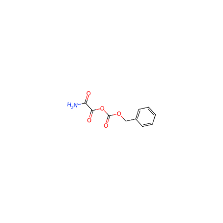 NC(=O)C(=O)OC(=O)OCc1ccccc1